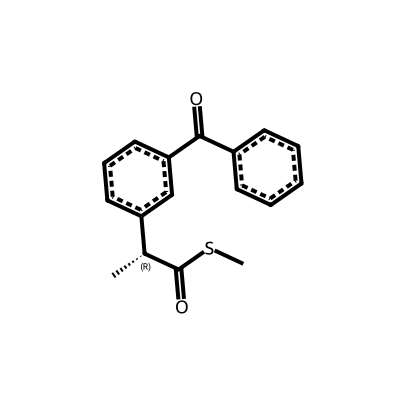 CSC(=O)[C@H](C)c1cccc(C(=O)c2ccccc2)c1